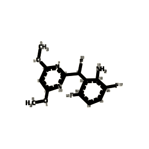 COc1cc(OC)nc(C(F)c2c(F)ccc(F)c2N)n1